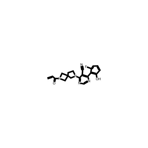 C=CC(=O)N1CC2(CCN(c3ncnc(-c4c(O)cccc4F)c3C#N)C2)C1